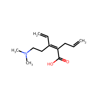 C=CCC(C(=O)O)=C(C=C)CCN(C)C